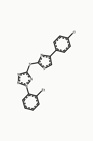 CCc1ccccc1-n1nnc(Sc2nc(-c3ccc(Cl)cc3)cs2)n1